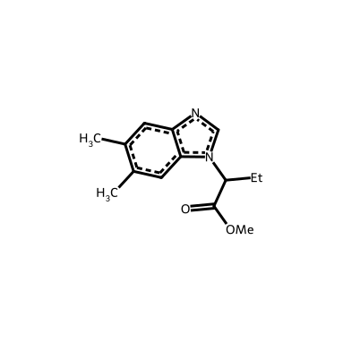 CCC(C(=O)OC)n1cnc2cc(C)c(C)cc21